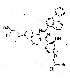 CCCCC(CC)COc1ccc(-c2nc(-c3ccc(OCC(CC)CCCC)cc3O)nc(-c3ccc4c5c(cccc35)-c3ccccc3-4)n2)c(O)c1